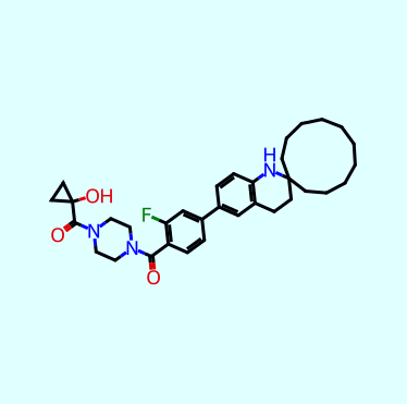 O=C(c1ccc(-c2ccc3c(c2)CCC2(CCCCCCCCCC2)N3)cc1F)N1CCN(C(=O)C2(O)CC2)CC1